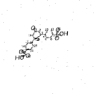 O=c1cc(-c2ccc(S(=O)(=O)O)cc2)sc(-c2ccc(S(=O)(=O)O)cc2)c1